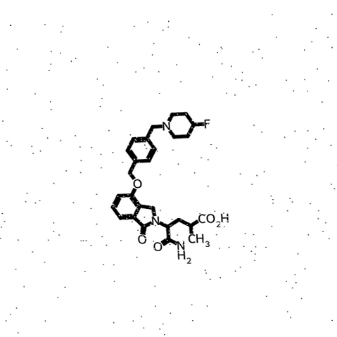 CC(CC(C(N)=O)N1Cc2c(OCc3ccc(CN4CCC(F)CC4)cc3)cccc2C1=O)C(=O)O